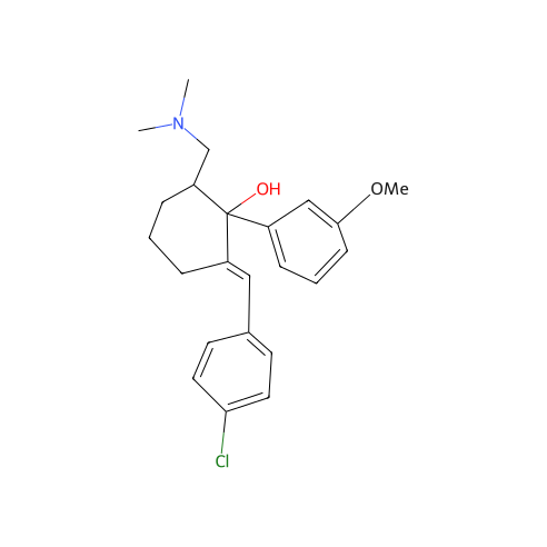 COc1cccc(C2(O)C(=Cc3ccc(Cl)cc3)CCCC2CN(C)C)c1